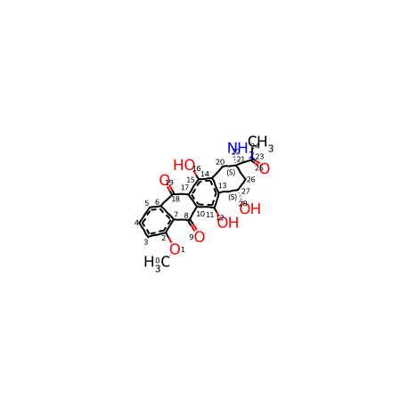 COc1cccc2c1C(=O)c1c(O)c3c(c(O)c1C2=O)C[C@@](N)(C(C)=O)C[C@@H]3O